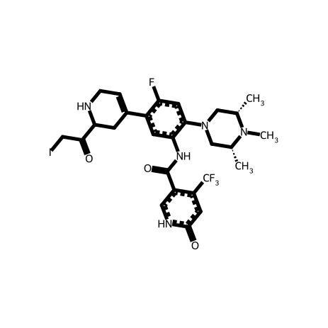 C[C@@H]1CN(c2cc(F)c(C3=CCNC(C(=O)CI)C3)cc2NC(=O)c2c[nH]c(=O)cc2C(F)(F)F)C[C@H](C)N1C